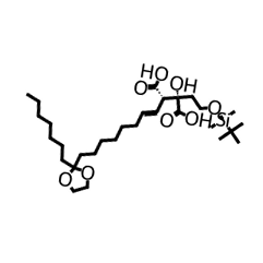 CCCCCCCC1(CCCCCC/C=C/[C@H](C(=O)O)[C@@](O)(CCO[Si](C)(C)C(C)(C)C)C(=O)O)OCCO1